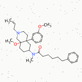 C=CCN1CCC2(c3cccc(OC)c3)CC(N(C)C(=O)CCCCCc3ccccc3)CCC2(OC)C1